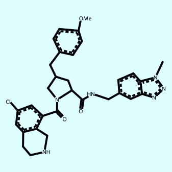 COc1ccc(CC2CC(C(=O)NCc3ccc4c(c3)nnn4C)N(C(=O)c3cc(Cl)cc4c3CNCC4)C2)cc1